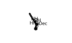 C=CCCCCCNCCC[C@H](CO)NC(=O)CC(CCCCCCCCCCC)OCc1ccccc1